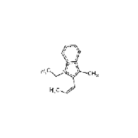 C/C=C\c1c(C)c2ccccc2n1CC